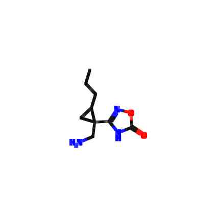 CCCC1CC1(CN)c1noc(=O)[nH]1